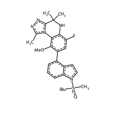 CCC(C)[SH](C)(=O)n1ccc2c(-c3cc(F)c4c(c3OC)-n3c(C)nnc3C(C)(C)N4)cccc21